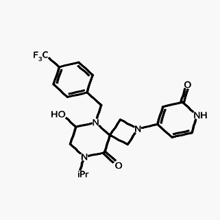 CC(C)N1CC(O)N(Cc2ccc(C(F)(F)F)cc2)C2(CN(c3cc[nH]c(=O)c3)C2)C1=O